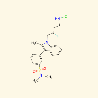 Cc1c(-c2cccc(S(=O)(=O)N(C)C)c2)c2ccccc2n1C/C(F)=C/CNCl